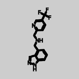 FC(F)(F)c1ccc(CNCc2cccc3[nH]ncc23)nc1